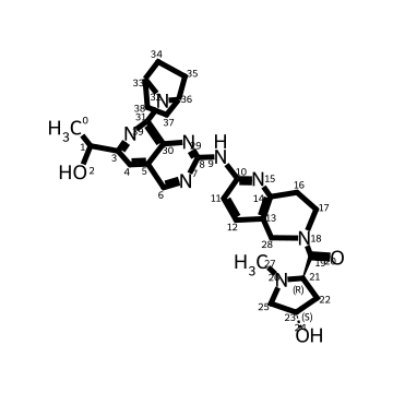 CC(O)c1cc2cnc(Nc3ccc4c(n3)CCN(C(=O)[C@H]3C[C@H](O)CN3C)C4)nc2c(N2C3CCC2CC3)n1